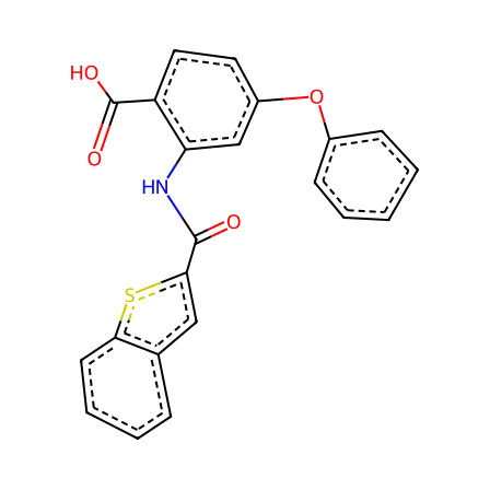 O=C(Nc1cc(Oc2ccccc2)ccc1C(=O)O)c1cc2ccccc2s1